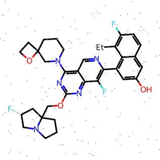 CCc1c(F)ccc2cc(O)cc(-c3ncc4c(N5CCCC6(CCO6)C5)nc(OCC56CCCN5C[C@H](F)C6)nc4c3F)c12